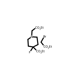 CCOC(=O)CBr.CCOC(=O)CN1CCC(F)(C(=O)OCC)CC1